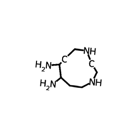 NC1CCNCCNCCC1N